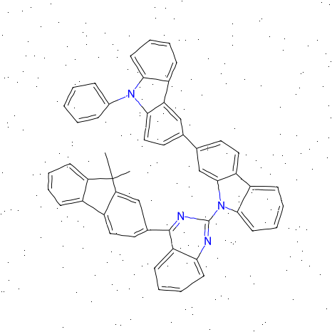 CC1(C)c2ccccc2-c2ccc(-c3nc(-n4c5ccccc5c5ccc(-c6ccc7c(c6)c6ccccc6n7-c6ccccc6)cc54)nc4ccccc34)cc21